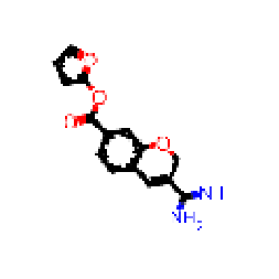 N=C(N)C1=Cc2ccc(C(=O)Oc3ccco3)cc2OC1